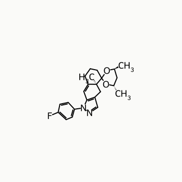 C[C@H]1C[C@H](C)OC2(CCCC3=Cc4c(cnn4-c4ccc(F)cc4)C[C@@]32C)O1